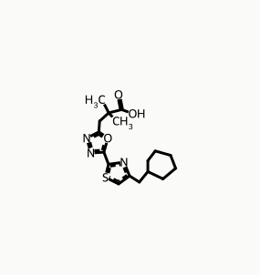 CC(C)(Cc1nnc(-c2nc(CC3CCCCC3)cs2)o1)C(=O)O